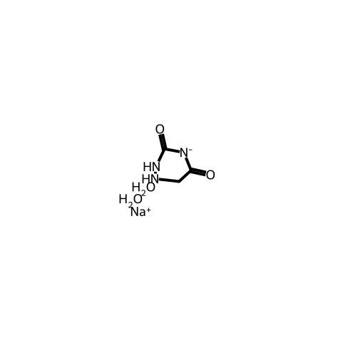 O.O.O=C1CNNC(=O)[N-]1.[Na+]